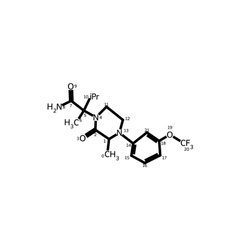 CC1C(=O)N(C(C)(C(N)=O)C(C)C)CCN1c1cccc(OC(F)(F)F)c1